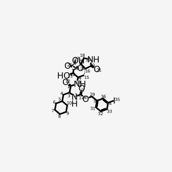 O=C(NC(CC1CCCCC1)C(=O)NC(C[C@@H]1CCNC1=O)C(O)S(=O)(=O)O)OCc1cccc(I)c1